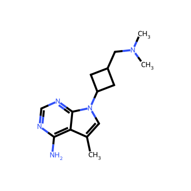 Cc1cn(C2CC(CN(C)C)C2)c2ncnc(N)c12